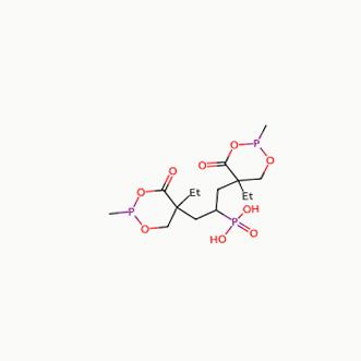 CCC1(CC(CC2(CC)COP(C)OC2=O)P(=O)(O)O)COP(C)OC1=O